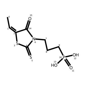 C/C=C1/SC(=S)N(CCCP(=O)(O)O)C1=O